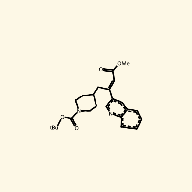 COC(=O)C=C(CC1CCN(C(=O)OC(C)(C)C)CC1)c1cnc2ccccc2c1